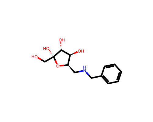 OC[C@]1(O)O[C@H](CNCc2ccccc2)[C@H](O)[C@H]1O